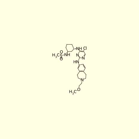 COCCN1CCc2ccc(Nc3ncc(Cl)c(N[C@@H]4CCC[C@H](NS(C)(=O)=O)C4)n3)cc2CC1